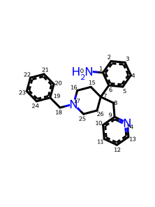 Nc1ccccc1C1(Cc2ccccn2)CCN(Cc2ccccc2)CC1